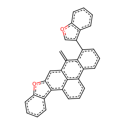 C=c1c2cc3oc4ccccc4c3c3cccc(c4cccc(-c5coc6ccccc56)c14)c23